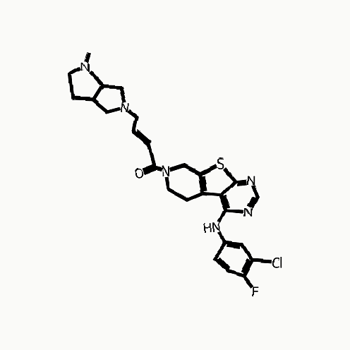 CN1CCC2CN(C/C=C/C(=O)N3CCc4c(sc5ncnc(Nc6ccc(F)c(Cl)c6)c45)C3)CC21